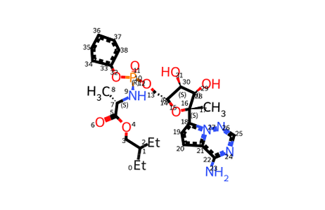 CCC(CC)COC(=O)[C@H](C)N[P@@](=O)(OC[C@H]1O[C@@](C)(c2ccc3c(N)ncnn23)[C@H](O)[C@@H]1O)Oc1ccccc1